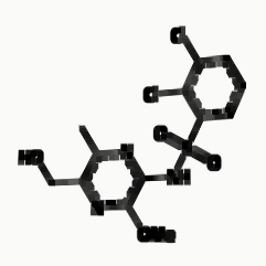 COc1nc(CO)c(C)nc1NS(=O)(=O)c1cccc(Cl)c1Cl